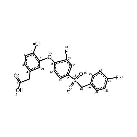 O=C(O)Cc1ccc(Cl)c(Oc2ccc(S(=O)(=O)Cc3ccc(F)cc3)cc2F)c1